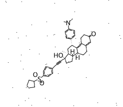 CN(C)c1ccc([C@H]2C[C@@]3(C)[C@@H](CC[C@@]3(O)C#Cc3ccc(S(=O)(=O)C4CCCC4)cc3)[C@@H]3CCC4=CC(=O)CCC4=C32)cc1